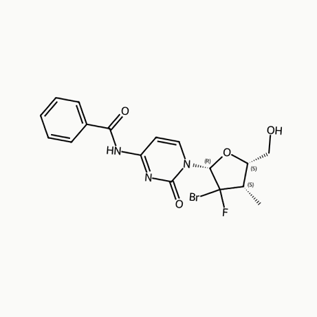 C[C@H]1[C@@H](CO)O[C@@H](n2ccc(NC(=O)c3ccccc3)nc2=O)C1(F)Br